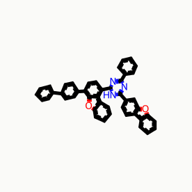 c1ccc(C2=NC(c3ccc(-c4ccc(-c5ccccc5)cc4)c4oc5ccccc5c34)NC(c3ccc4c(c3)oc3ccccc34)=N2)cc1